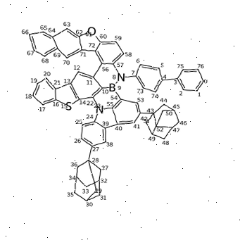 c1ccc(-c2ccc(N3B4c5c(cc6c(sc7ccccc76)c5-n5c6ccc(C78CC9CC(CC(C9)C7)C8)cc6c6cc(C78CC9CC(CC(C9)C7)C8)cc4c65)-c4c3ccc3oc5cc6ccccc6cc5c43)cc2)cc1